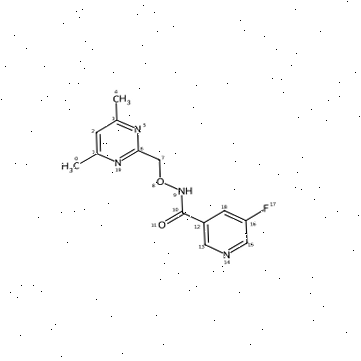 Cc1cc(C)nc(CONC(=O)c2cncc(F)c2)n1